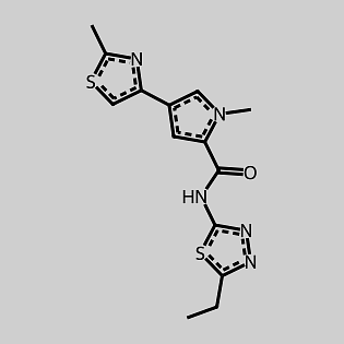 CCc1nnc(NC(=O)c2cc(-c3csc(C)n3)cn2C)s1